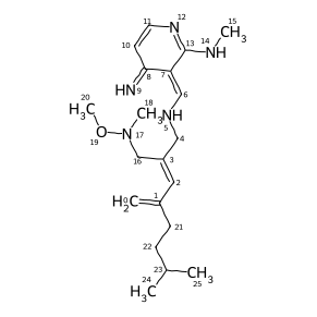 C=C(/C=C(/CN/C=C1\C(=N)C=CN=C1NC)CN(C)OC)CCC(C)C